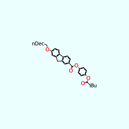 CCCCCCCCCCCOc1ccc2c(c1)Cc1cc(C(=O)Oc3ccc(OC(=O)C(C)CC)cc3)ccc1-2